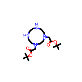 CC(C)(C)OC(=O)CN1CCNCCNCCN(CC(=O)OC(C)(C)C)CC1